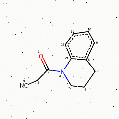 N#CCC(=O)N1CCCc2ccccc21